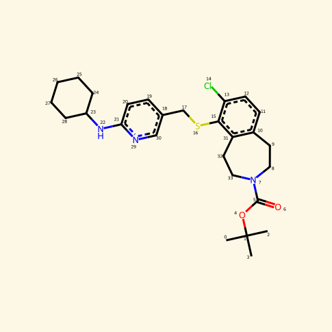 CC(C)(C)OC(=O)N1CCc2ccc(Cl)c(SCc3ccc(NC4CCCCC4)nc3)c2CC1